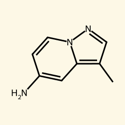 Cc1cnn2ccc(N)cc12